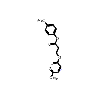 COC(=O)/C=C\C(=O)OCCC(=O)Oc1ccc(OC)cc1